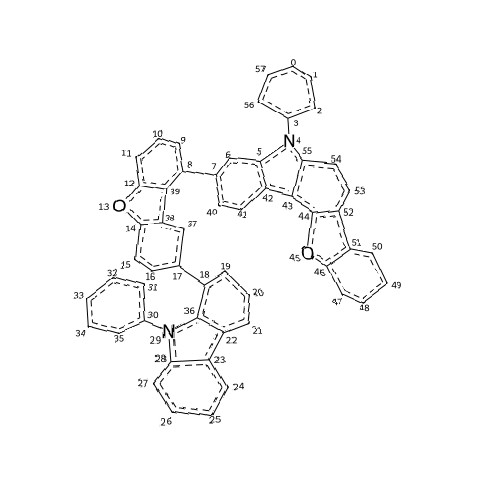 c1ccc(-n2c3cc(-c4cccc5oc6ccc(-c7cccc8c9ccccc9n(-c9ccccc9)c78)cc6c45)ccc3c3c4oc5ccccc5c4ccc32)cc1